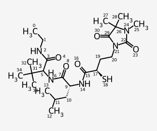 CCNC(=O)C(NC(=O)[C@@H](CC(C)C)NC(=O)[C@H](S)CCN1C(=O)N(C)C(C)(C)C1=O)C(C)(C)C